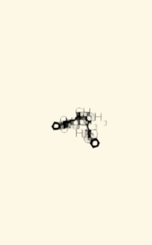 C[Si](C)(CCCNS(=O)(=O)c1ccccc1)O[Si](C)(C)CCCNS(=O)(=O)c1ccccc1